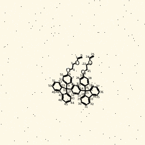 C=COCCOc1ccc(C2(c3ccc(C4(c5ccc(OCCOC=C)cc5)c5ccccc5-c5ccccc54)cc3)c3ccccc3-c3ccccc32)cc1